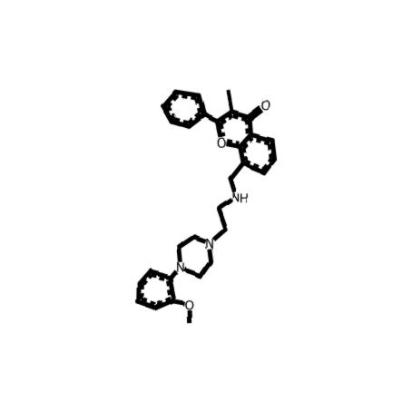 COc1ccccc1N1CCN(CCNCc2cccc3c(=O)c(C)c(-c4ccccc4)oc23)CC1